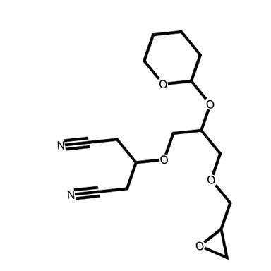 N#CCC(CC#N)OCC(COCC1CO1)OC1CCCCO1